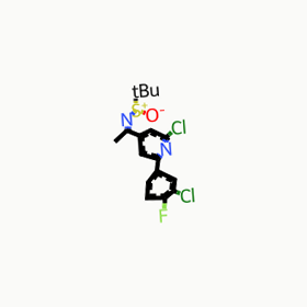 C/C(=N/[S+]([O-])C(C)(C)C)c1cc(Cl)nc(-c2ccc(F)c(Cl)c2)c1